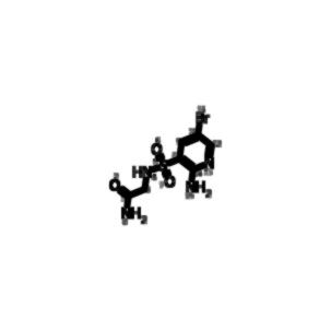 NC(=O)CNS(=O)(=O)c1cc(Br)cnc1N